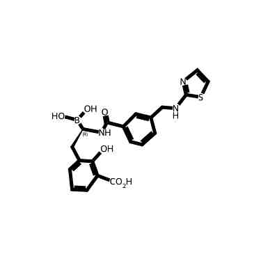 O=C(N[C@@H](Cc1cccc(C(=O)O)c1O)B(O)O)c1cccc(CNc2nccs2)c1